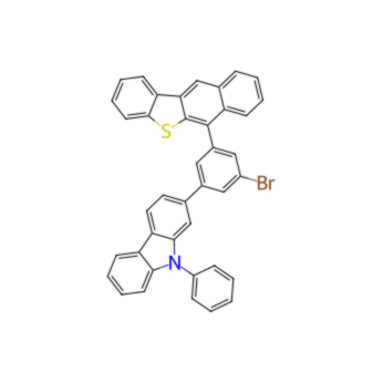 Brc1cc(-c2ccc3c4ccccc4n(-c4ccccc4)c3c2)cc(-c2c3ccccc3cc3c2sc2ccccc23)c1